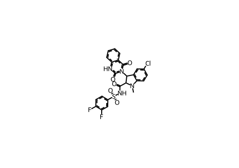 CN1c2ccc(Cl)cc2C(n2c(=O)[nH]c3ccccc3c2=O)C1C(=O)NS(=O)(=O)c1ccc(F)c(F)c1